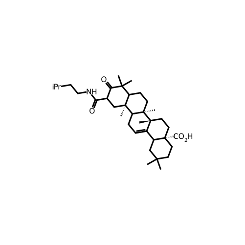 CC(C)CCNC(=O)C1C[C@@]2(C)C(CC[C@]3(C)C2CC=C2C4CC(C)(C)CC[C@]4(C(=O)O)CC[C@]23C)C(C)(C)C1=O